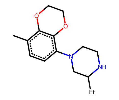 CCC1CN(c2ccc(C)c3c2OCCO3)CCN1